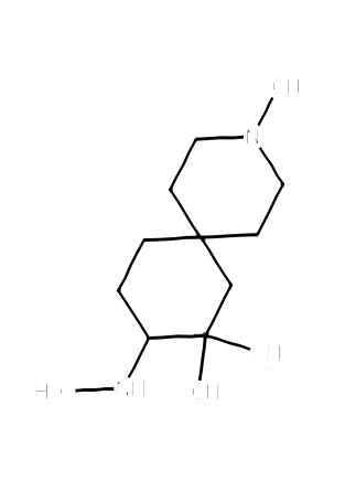 CNC1CCC2(CCN(C)CC2)CC1(C)C